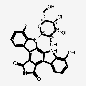 O=C1NC(=O)c2c1c1c3cccc(O)c3[nH]c1c1c2c2cccc(Cl)c2n1[C@@H]1O[C@H](CO)[C@@H](O)[C@H](O)[C@H]1O